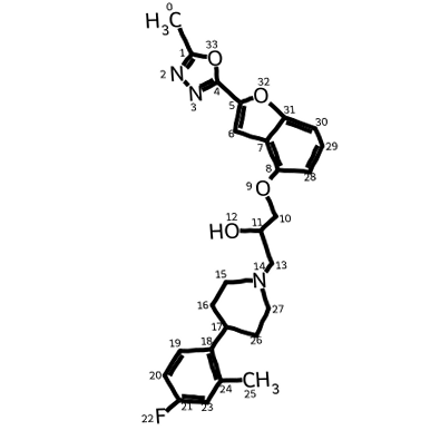 Cc1nnc(-c2cc3c(OCC(O)CN4CCC(c5ccc(F)cc5C)CC4)cccc3o2)o1